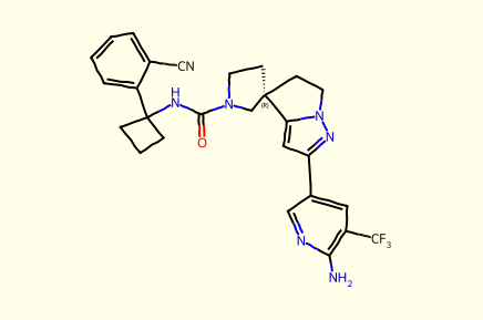 N#Cc1ccccc1C1(NC(=O)N2CC[C@@]3(CCn4nc(-c5cnc(N)c(C(F)(F)F)c5)cc43)C2)CCC1